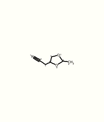 CC1OCC(CC#N)O1